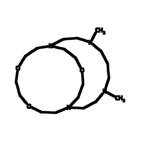 CN1CCCN(C)CCN2CCOCCOCCN(CCOCC2)CC1